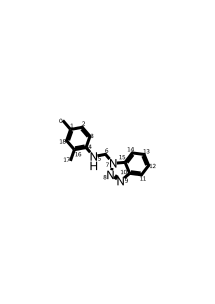 Cc1ccc(NCn2nnc3ccccc32)c(C)c1